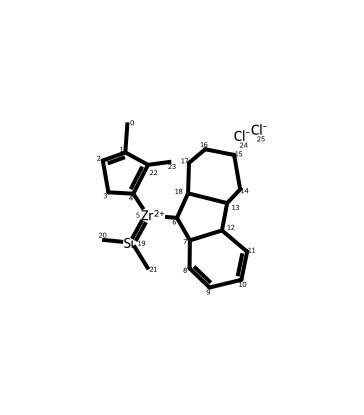 CC1=CC[C]([Zr+2]([CH]2C3C=CC=CC3C3CCCCC32)=[Si](C)C)=C1C.[Cl-].[Cl-]